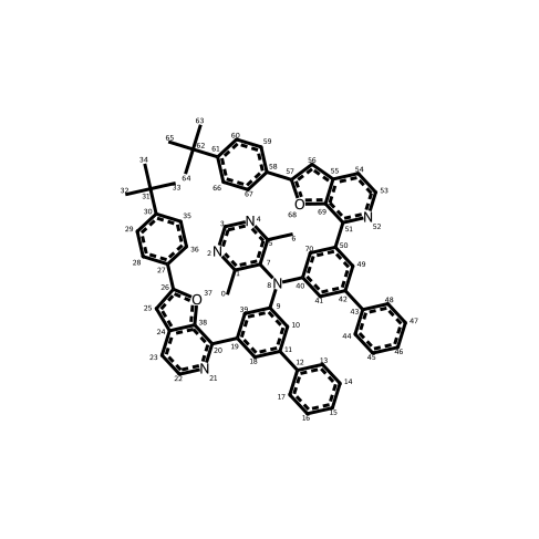 Cc1ncnc(C)c1N(c1cc(-c2ccccc2)cc(-c2nccc3cc(-c4ccc(C(C)(C)C)cc4)oc23)c1)c1cc(-c2ccccc2)cc(-c2nccc3cc(-c4ccc(C(C)(C)C)cc4)oc23)c1